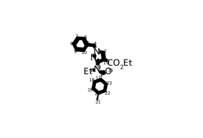 CCOC(=O)c1cn(Cc2ccccc2)nc1N(CC)C(=O)[C@H]1CC[C@H](C)CC1